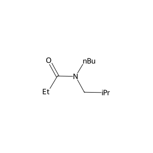 [CH2]CC(=O)N(CCCC)CC(C)C